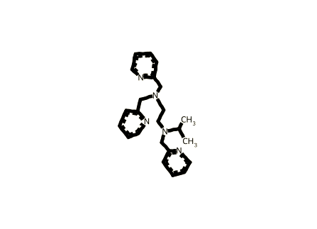 CC(C)N(CCN(Cc1ccccn1)Cc1ccccn1)Cc1ccccn1